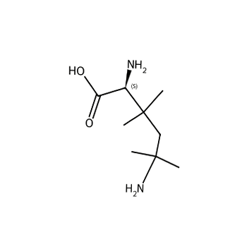 CC(C)(N)CC(C)(C)[C@H](N)C(=O)O